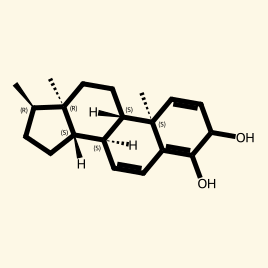 C[C@@H]1CC[C@H]2[C@@H]3C=CC4=C(O)C(O)C=C[C@]4(C)[C@H]3CC[C@]12C